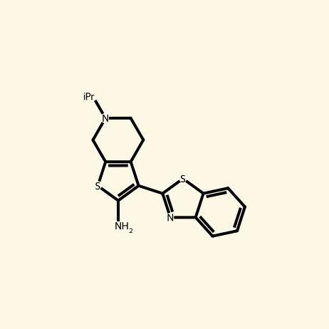 CC(C)N1CCc2c(sc(N)c2-c2nc3ccccc3s2)C1